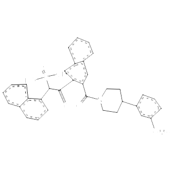 COc1cccc(C2CCN(C(=O)c3cc4ccccc4cc3C(=O)C(c3cccc4ccccc34)P(=O)(O)O)CC2)c1